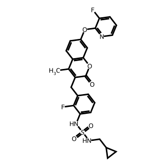 Cc1c(Cc2cccc(NS(=O)(=O)NCC3CC3)c2F)c(=O)oc2cc(Oc3ncccc3F)ccc12